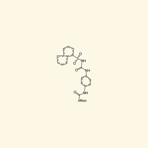 CCCCCCCCCC(=O)Nc1ccc(NC(=O)NS(=O)(=O)c2cccc3ccccc23)cc1